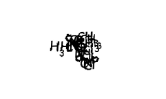 CC(c1ccccc1)[N+]([O-])(NCCN(C(=O)C(Cl)Cl)c1cccc(-c2cc(-c3c(Cl)cccc3Cl)no2)c1)C(=O)OC(C)(C)C